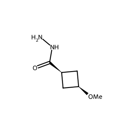 CO[C@H]1C[C@@H](C(=O)NN)C1